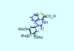 COc1cc(N2C(=O)Nc3c(C(=O)O)sc4ncnc2c34)cc(OC)c1OC